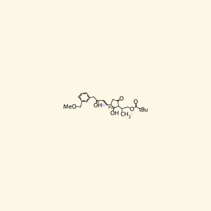 [CH2]C(COC(=O)C(C)(C)C)C1C(=O)C[C@H](/C=C/[C@@H](O)Cc2cccc(COC)c2)[C@@H]1O